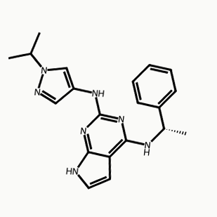 CC(C)n1cc(Nc2nc(N[C@@H](C)c3ccccc3)c3cc[nH]c3n2)cn1